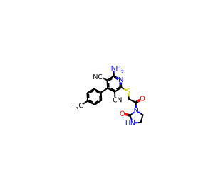 N#Cc1c(N)nc(SCC(=O)N2CCNC2=O)c(C#N)c1-c1ccc(C(F)(F)F)cc1